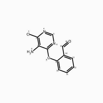 Nc1c(Cl)ncnc1Oc1ccccc1C=O